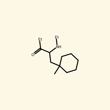 CCNC(CC1(C)CCCCC1)C(=O)CC